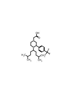 CC(C)CCC(CCC(C)C)N1CCN(CC(=O)O)CC1c1ccc(C(F)(F)F)cc1